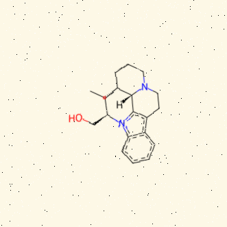 CC[C@@]12CCCN3CCc4c(n(c5ccccc45)[C@@H](CO)C1)[C@@H]32